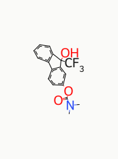 CN(C)C(=O)Oc1ccc2c(c1)C(O)(C(F)(F)F)c1ccccc1-2